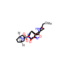 COCCNCc1ccc(S(=O)(=O)N2[C@@H]3CC[C@H]2C[C@@H](NC(=O)c2cc(C4CC4)on2)C3)cc1